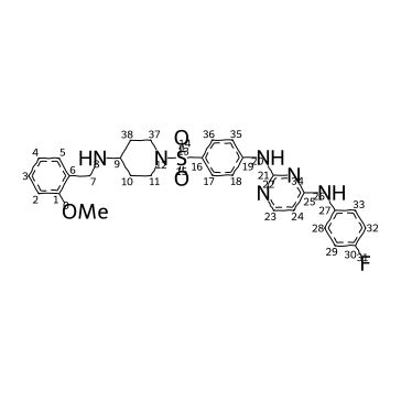 COc1ccccc1CNC1CCN(S(=O)(=O)c2ccc(Nc3nccc(Nc4ccc(F)cc4)n3)cc2)CC1